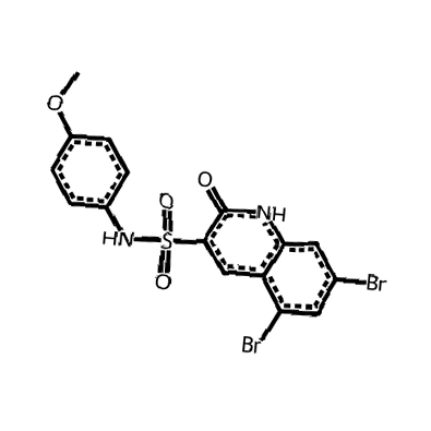 COc1ccc(NS(=O)(=O)c2cc3c(Br)cc(Br)cc3[nH]c2=O)cc1